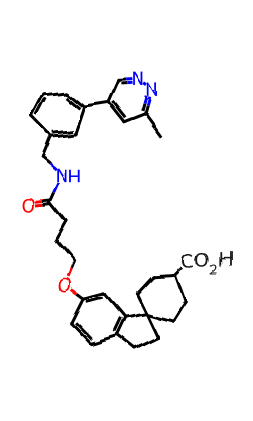 Cc1cc(-c2cccc(CNC(=O)CCCOc3ccc4c(c3)C3(CC4)CCC(C(=O)O)CC3)c2)cnn1